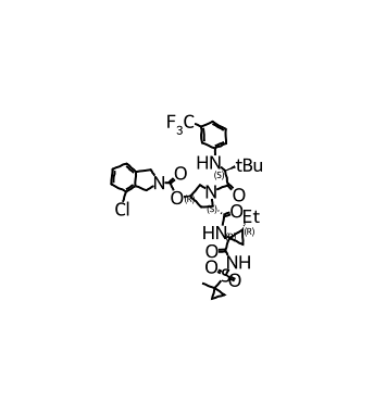 CC[C@@H]1C[C@]1(NC(=O)[C@@H]1C[C@@H](OC(=O)N2Cc3cccc(Cl)c3C2)CN1C(=O)[C@@H](Nc1cccc(C(F)(F)F)c1)C(C)(C)C)C(=O)NS(=O)(=O)C1(C)CC1